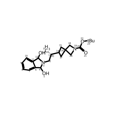 C[C@@H](CN1C(O)c2ccccc2C1O)C1CC2(C1)CN(C(=O)OC(C)(C)C)C2